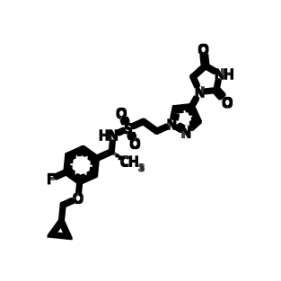 C[C@@H](NS(=O)(=O)CCn1cc(N2CC(=O)NC2=O)cn1)c1ccc(F)c(OCC2CC2)c1